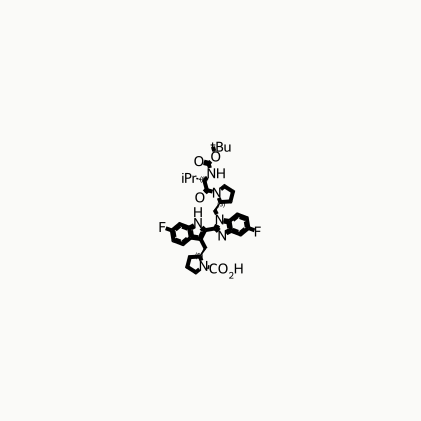 CC(C)[C@H](NC(=O)OC(C)(C)C)C(=O)N1CCC[C@H]1Cn1c(-c2[nH]c3cc(F)ccc3c2C[C@@H]2CCCN2C(=O)O)nc2cc(F)ccc21